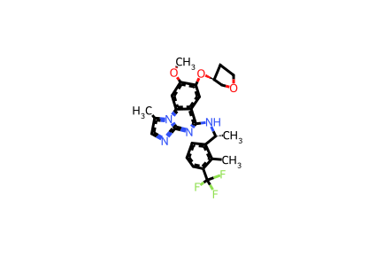 COc1cc2c(cc1O[C@H]1CCOC1)c(N[C@H](C)c1cccc(C(F)(F)F)c1C)nc1ncc(C)n12